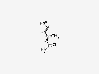 C=C(Cl)/C=C(C)/N=C/S